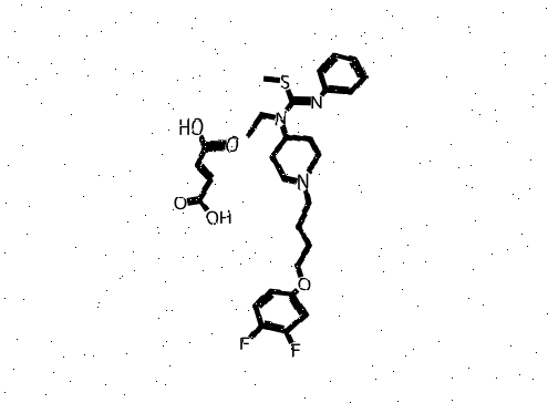 CCN(C(=Nc1ccccc1)SC)C1CCN(CCCCOc2ccc(F)c(F)c2)CC1.O=C(O)C=CC(=O)O